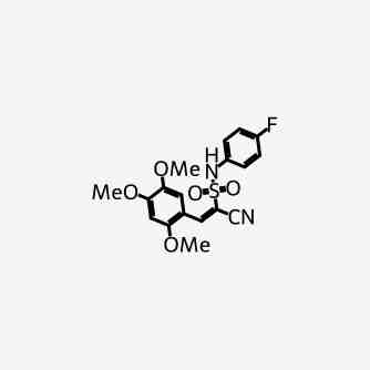 COc1cc(OC)c(OC)cc1C=C(C#N)S(=O)(=O)Nc1ccc(F)cc1